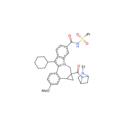 CCN1CC2CC1N2C(=O)C12CC1c1cc(OC)ccc1-c1c(C3CCCCC3)c3ccc(C(=O)NS(=O)(=O)C(C)C)cc3n1C2